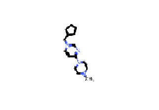 CN1CCN(C2=NCN(CC3CCCC3)C=C2)CC1